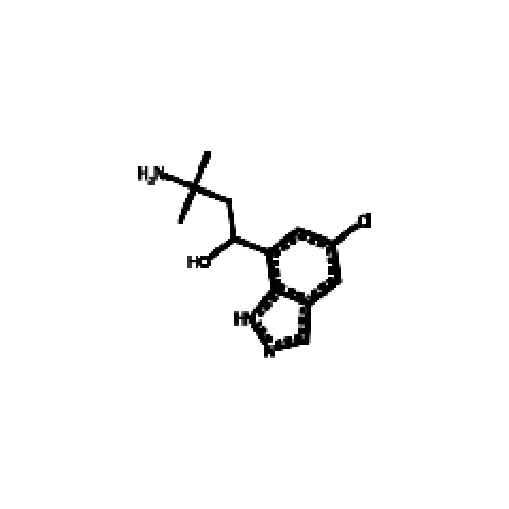 CC(C)(N)CC(O)c1cc(Cl)cc2cn[nH]c12